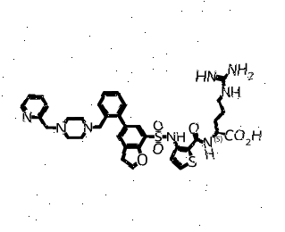 N=C(N)NCCC[C@H](NC(=O)c1sccc1NS(=O)(=O)c1cc(-c2ccccc2CN2CCN(Cc3ccccn3)CC2)cc2c1OCC2)C(=O)O